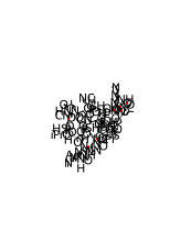 [C-]#[N+]CCO[PH](S)(OC[C@H]1O[C@@H](n2cnc3c(=O)[nH]c(/N=C/N(C)C)nc32)C[C@H]1O[PH](S)(OCC[N+]#[C-])OC[C@H]1O[C@@H](n2cc(C)c(=O)[nH]c2=O)C[C@H]1O[PH](S)(OCC[N+]#[C-])OC[C@H]1O[C@@H](n2cnc3c(=O)[nH]c(/N=C/N(C)C)nc32)C[C@H]1O[PH](S)(OCC[N+]#[C-])OC[C@H]1O[C@@H](C2C=C(C)C(=O)NC2=O)C[C@H]1O[PH](S)(OC[C@H]1O[C@@H](n2ccc(NC(C)=O)nc2=O)C[C@H]1C(C)C)SCCC)OC(C)C